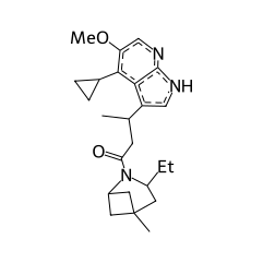 CCC1CC2(C)CC(C2)N1C(=O)CC(C)c1c[nH]c2ncc(OC)c(C3CC3)c12